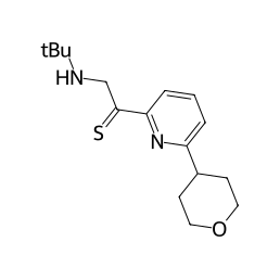 CC(C)(C)NCC(=S)c1cccc(C2CCOCC2)n1